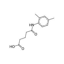 Cc1ccc(NC(=O)CCCC(=O)O)c(C)c1